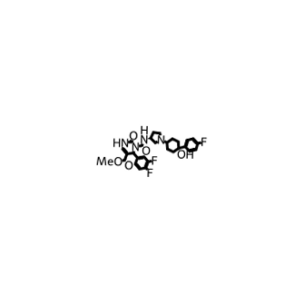 COC(=O)C1=CNC(=O)N(C(=O)N[C@@H]2CCN(C3CCC(O)(c4ccc(F)cc4)CC3)C2)C1c1ccc(F)c(F)c1